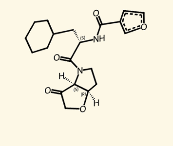 O=C(N[C@@H](CC1CCCCC1)C(=O)N1CC[C@H]2OCC(=O)[C@H]21)c1ccoc1